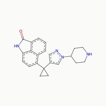 O=C1Nc2ccc(C3(c4cnn(C5CCNCC5)c4)CC3)c3cccc1c23